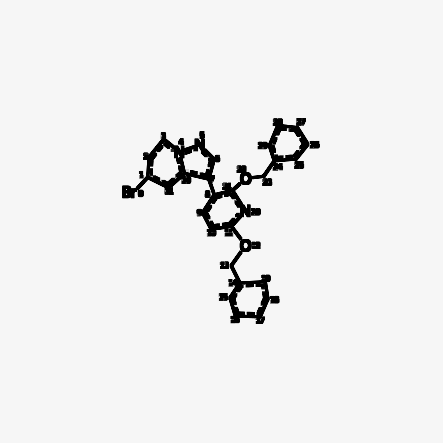 Brc1ccn2ncc(-c3ccc(OCc4ccccc4)nc3OCc3ccccc3)c2c1